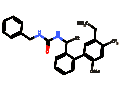 CCC(NC(=O)NCc1ccccc1)c1ccccc1-c1cc(CC(=O)O)c(C(F)(F)F)cc1OC